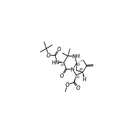 C=C1C[C@]23C[C@H]1[C@@H](C(=O)OC)N2C(=O)[C@@H](NC(=O)OC(C)(C)C)C(C)(C)N3